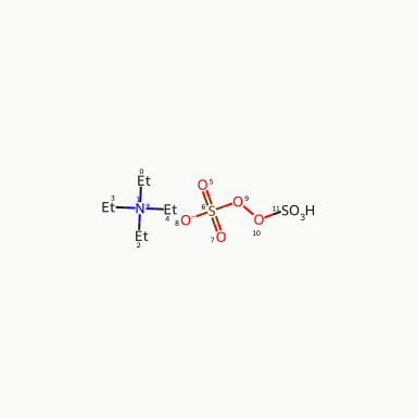 CC[N+](CC)(CC)CC.O=S(=O)([O-])OOS(=O)(=O)O